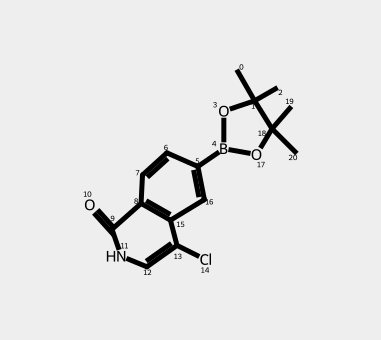 CC1(C)OB(c2ccc3c(=O)[nH]cc(Cl)c3c2)OC1(C)C